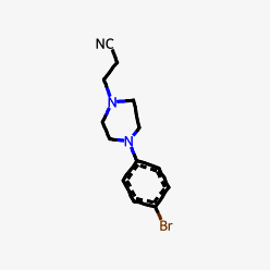 N#CCCN1CCN(c2ccc(Br)cc2)CC1